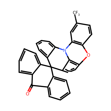 O=C1c2ccccc2C2(c3ccccc31)c1ccccc1N1c3cc(C(F)(F)F)ccc3Oc3cccc2c31